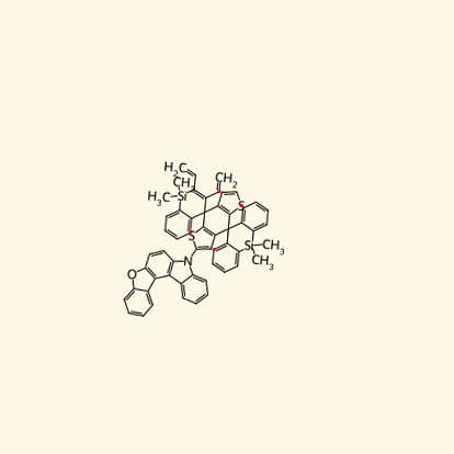 C=CC1=C(C=C)[Si](C)(C)c2ccccc2C12c1ccsc1C1(c3ccccc3[Si](C)(C)c3ccccc31)c1cc(-n3c4ccccc4c4c5c(ccc43)oc3ccccc35)sc12